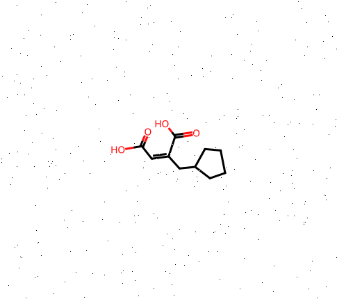 O=C(O)C=C(CC1CCCC1)C(=O)O